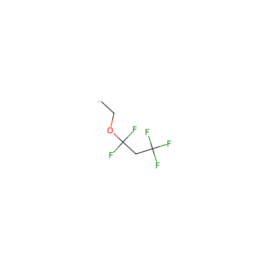 [CH2]COC(F)(F)CC(F)(F)F